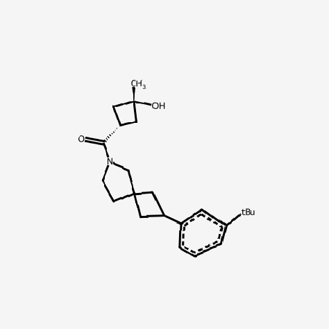 CC(C)(C)c1cccc(C2CC3(CCN(C(=O)[C@H]4C[C@@](C)(O)C4)C3)C2)c1